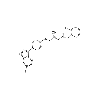 O[C@H](CNCc1ccccc1F)COc1ccc(-c2noc3cc(F)ccc23)cc1